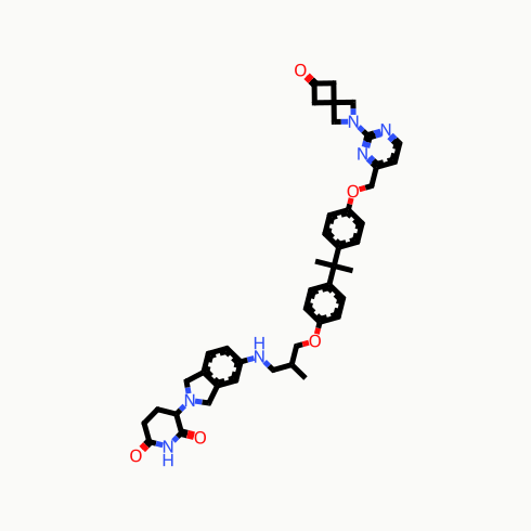 CC(CNc1ccc2c(c1)CN(C1CCC(=O)NC1=O)C2)COc1ccc(C(C)(C)c2ccc(OCc3ccnc(N4CC5(CC(=O)C5)C4)n3)cc2)cc1